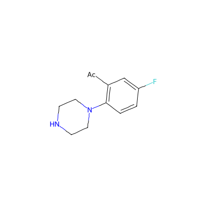 CC(=O)c1cc(F)ccc1N1CCNCC1